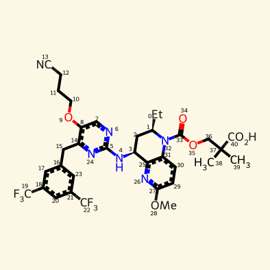 CC[C@@H]1C[C@H](Nc2ncc(OCCCC#N)c(Cc3cc(C(F)(F)F)cc(C(F)(F)F)c3)n2)c2nc(OC)ccc2N1C(=O)OCC(C)(C)C(=O)O